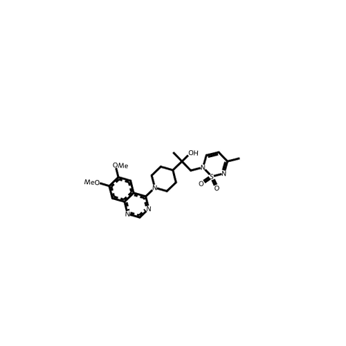 COc1cc2ncnc(N3CCC(C(C)(O)CN4C=CC(C)=NS4(=O)=O)CC3)c2cc1OC